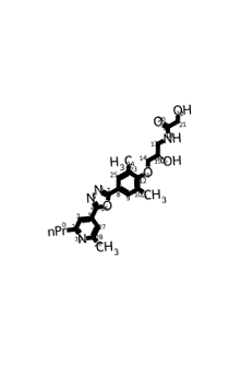 CCCc1cc(-c2nnc(-c3cc(C)c(OC[C@@H](O)CNC(=O)CO)c(C)c3)o2)cc(C)n1